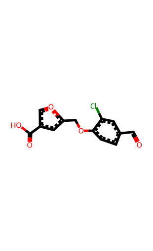 O=Cc1ccc(OCc2cc(C(=O)O)co2)c(Cl)c1